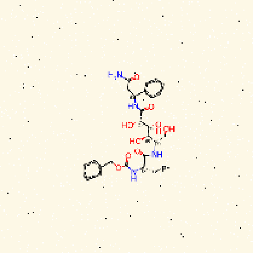 CC(C)C[C@H](NC(=O)OCc1ccccc1)C(=O)N[C@@H](CO)[C@@H](O)[C@@H](O)[C@H](O)C(=O)N[C@@H](CC(N)=O)c1ccccc1